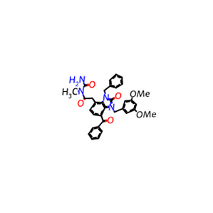 COc1cc(Cn2c(=O)n(Cc3ccccc3)c3c(CC(=O)N(C)C(N)=O)ccc(C(=O)c4ccccc4)c32)cc(OC)c1